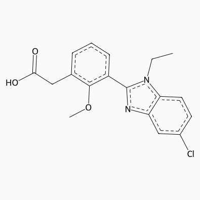 CCn1c(-c2cccc(CC(=O)O)c2OC)nc2cc(Cl)ccc21